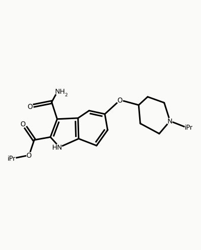 CC(C)OC(=O)c1[nH]c2ccc(OC3CCN(C(C)C)CC3)cc2c1C(N)=O